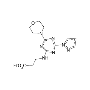 CCOC(=O)CCNc1nc(N2CCOCC2)nc(-n2cccn2)n1